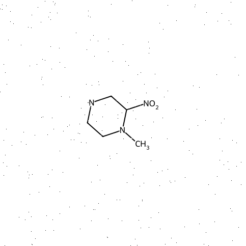 CN1CC[N]CC1[N+](=O)[O-]